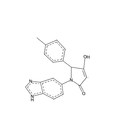 Cc1ccc(C2C(O)=[C]C(=O)N2c2ccc3[nH]cnc3c2)cc1